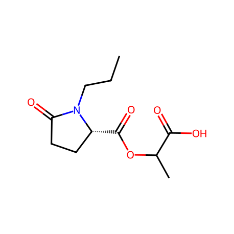 CCCN1C(=O)CC[C@H]1C(=O)OC(C)C(=O)O